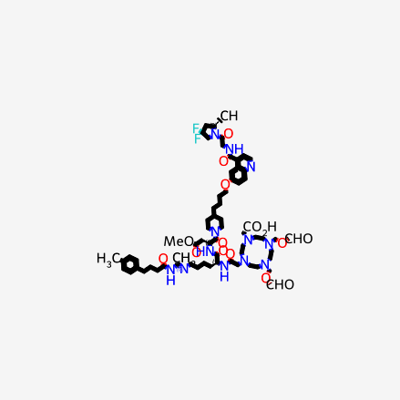 C#C[C@H]1CC(F)(F)CN1C(=O)CNC(=O)c1ccnc2ccc(OCCCCC3CCN(C(=O)[C@H](CC(=O)OC)NC(=O)[C@H](CCCC/N=C(\C)NC(=O)CCCc4ccc(C)cc4)NC(=O)CN4CCN(COC=O)CCN(COC=O)CCN(CC(=O)O)CC4)CC3)cc12